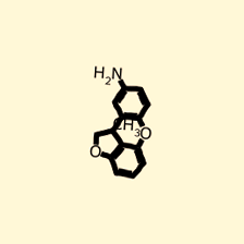 CC12COc3cccc(c31)Oc1ccc(N)cc12